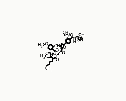 CCCCCC(C(=O)NCNC(=O)c1ccc(-c2ccc(C(=O)NCP(=O)(O)O)c(OCC)c2)o1)C(CC)N(C=O)OC(=O)c1ccc(OC)cc1C